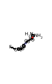 Nc1cc(N)cc(C(=O)OCCOC(=O)/C=C/c2ccc(OC(F)(F)c3ccc(OCCCCF)cc3)cc2)c1